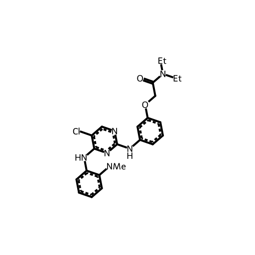 CCN(CC)C(=O)COc1cccc(Nc2ncc(Cl)c(Nc3ccccc3NC)n2)c1